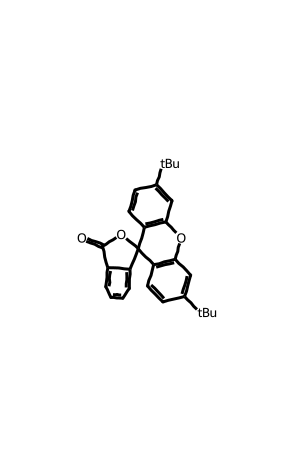 CC(C)(C)c1ccc2c(c1)Oc1cc(C(C)(C)C)ccc1C21OC(=O)c2ccccc21